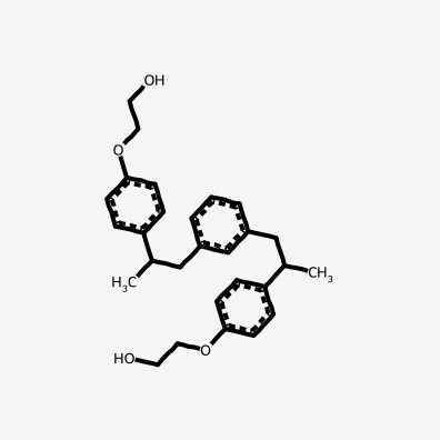 CC(Cc1cccc(CC(C)c2ccc(OCCO)cc2)c1)c1ccc(OCCO)cc1